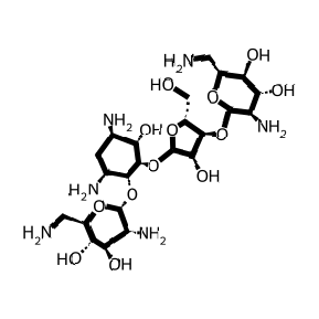 NC[C@@H]1OC(O[C@@H]2[C@@H](CO)OC(O[C@@H]3[C@@H](O)[C@H](N)C[C@H](N)[C@H]3O[C@H]3O[C@H](CN)[C@@H](O)[C@H](O)[C@H]3N)[C@@H]2O)[C@H](N)[C@@H](O)[C@@H]1O